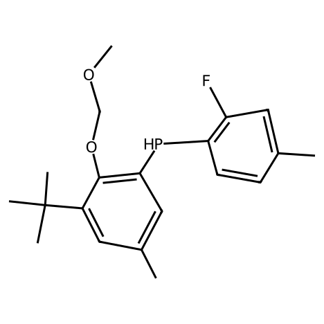 COCOc1c(Pc2ccc(C)cc2F)cc(C)cc1C(C)(C)C